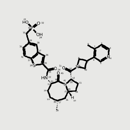 Cc1ccncc1C1CN(C(=O)[C@@H]2CC[C@@H]3C[C@H](C)CC[C@H](NC(=O)c4cc5cc(CP(=O)(O)O)ccc5s4)C(=O)N32)C1